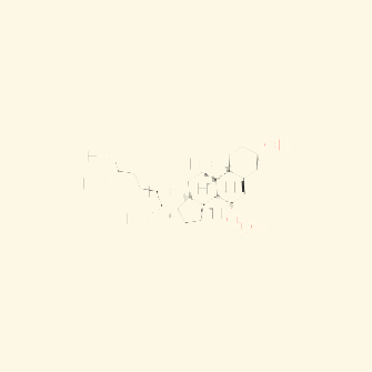 CC(C)CCCC(C)[C@H]1CC[C@H]2[C@@H]3[C@@H](OO)C=C4C[C@@H](O)CC[C@]4(C)[C@H]3CC[C@]12C